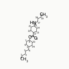 CCCCCC1CCC(OC(=O)C2CCC(NCCCC)CC2)CC1